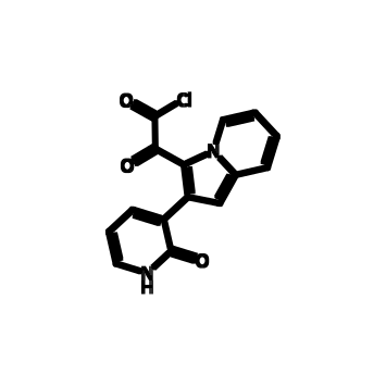 O=C(Cl)C(=O)c1c(-c2ccc[nH]c2=O)cc2ccccn12